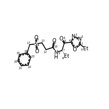 CCc1nnc(C(=O)[C@H](CC)NC(=O)CCS(=O)(=O)Cc2ccccc2)o1